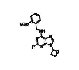 COc1ccccc1CNc1nc(F)nc2c1ncn2C1CCO1